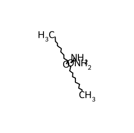 CCCCCCCCCCOCCCCCCCCCC.NC(N)=O